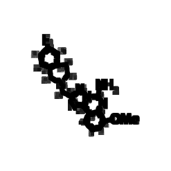 COc1cccc2c1nc(N)n1nc(CN3CCc4cc(F)ccc4C3)nc21